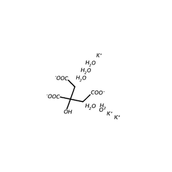 O.O.O.O.O.O=C([O-])CC(O)(CC(=O)[O-])C(=O)[O-].[K+].[K+].[K+]